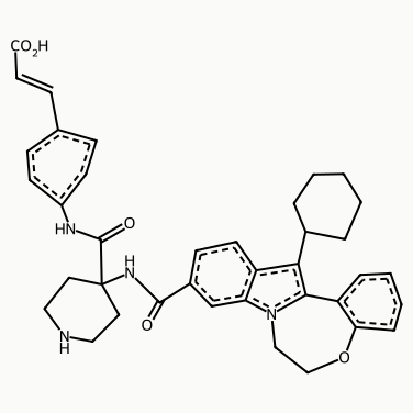 O=C(O)C=Cc1ccc(NC(=O)C2(NC(=O)c3ccc4c(C5CCCCC5)c5n(c4c3)CCOc3ccccc3-5)CCNCC2)cc1